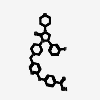 O=C(O)c1ccc(Sc2ccc(CN3CCC(N4C(=O)N(C5CCOCC5)C[C@H]4c4cccc(F)c4)CC3)cn2)cc1